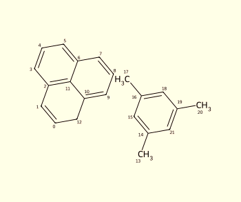 C1=Cc2cccc3cccc(c23)C1.Cc1cc(C)cc(C)c1